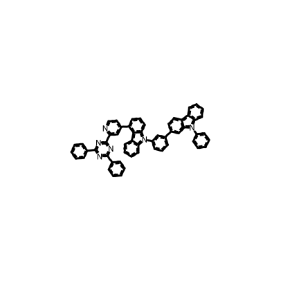 c1ccc(-c2nc(-c3ccccc3)nc(-c3cc(-c4cccc5c4c4ccccc4n5-c4cccc(-c5ccc6c7ccccc7n(-c7ccccc7)c6c5)c4)ccn3)n2)cc1